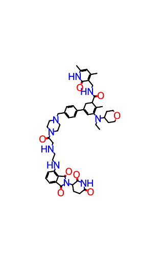 CCN(C1=C(C)C(C(=O)NCc2c(C)cc(C)[nH]c2=O)CC(c2ccc(CN3CCN(C(=O)CNCCNc4cccc5c4C(=O)N(C4CCC(=O)NC4=O)C5=O)CC3)cc2)=C1)C1CCOCC1